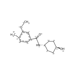 COc1cc(C(=O)N[C@H]2CC[C@H](O)CC2)ccc1C